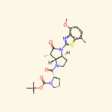 COc1ccc(C)c2sc(N3C(=O)[C@@H](C)[C@@H]4[C@@H]3CCN4C(=O)[C@@H]3CCCN3C(=O)OC(C)(C)C)nc12